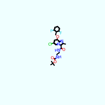 Cc1nc2c(OCc3c(F)cccc3F)cc(Cl)cn2c1C(=O)NCCNC(=O)OC(C)(C)C